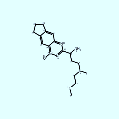 COCCN(C)CCC(N)c1nc2cc3c(cc2[n+]([O-])n1)CCC3